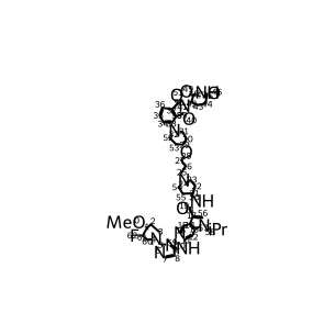 CO[C@H]1CCN(c2nccc(Nc3cc4c(cn3)c(C(=O)NC3CCN(CCCOC5CCN(c6cccc7c6C(=O)N(C6CCC(=O)NC6=O)C7=O)CC5)CC3)cn4C(C)C)n2)C[C@H]1F